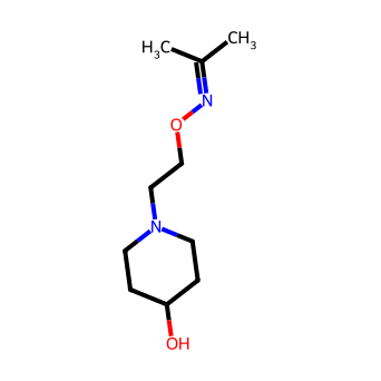 CC(C)=NOCCN1CCC(O)CC1